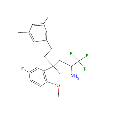 COc1ccc(F)cc1C(C)(CCc1cc(C)cc(C)c1)CC(N)C(F)(F)F